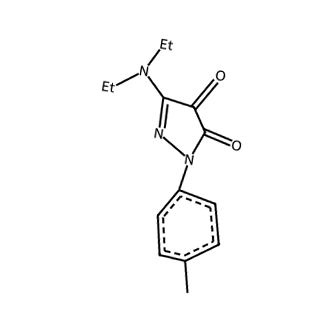 CCN(CC)C1=NN(c2ccc(C)cc2)C(=O)C1=O